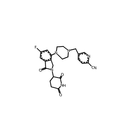 N#Cc1ccc(CN2CCN(c3cc(F)cc4c3CN(C3CCC(=O)NC3=O)C4=O)CC2)cn1